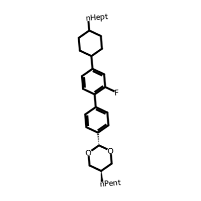 CCCCCCCC1CCC(c2ccc(-c3ccc([C@H]4OC[C@H](CCCCC)CO4)cc3)c(F)c2)CC1